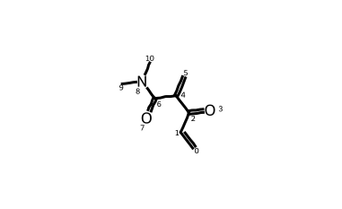 C=CC(=O)C(=C)C(=O)N(C)C